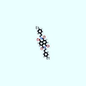 CCc1ccc(CCN2C(=O)c3ccc4c5c(ccc(c35)C2=O)C(=O)N(CCc2ccc(CC)cc2)C4=O)cc1